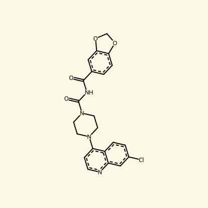 O=C(NC(=O)N1CCN(c2ccnc3cc(Cl)ccc23)CC1)c1ccc2c(c1)OCO2